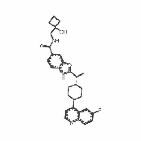 CC(c1nc2cc(C(=O)NCC3(O)CCC3)ccc2[nH]1)[C@H]1CC[C@H](c2ccnc3ccc(F)cc32)CC1